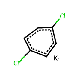 Clc1ccc(Cl)cc1.[K]